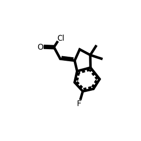 CC1(C)CC(=CC(=O)Cl)c2cc(F)ccc21